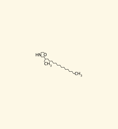 CCCCCCCCCCCCCCCC(CC)C1CNCCO1